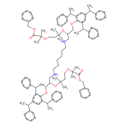 CC(c1ccccc1)c1cc(C(C)c2ccccc2)c(OCC(CNCCCCCCNCC(COc2c(C(C)c3ccccc3)cc(C(C)c3ccccc3)cc2C(C)c2ccccc2)OC(C)(C)CCOC(C)(C)C(=O)OCc2ccccc2)OC(C)(C)CCOC(C)(C)C(=O)OCc2ccccc2)c(C(C)c2ccccc2)c1